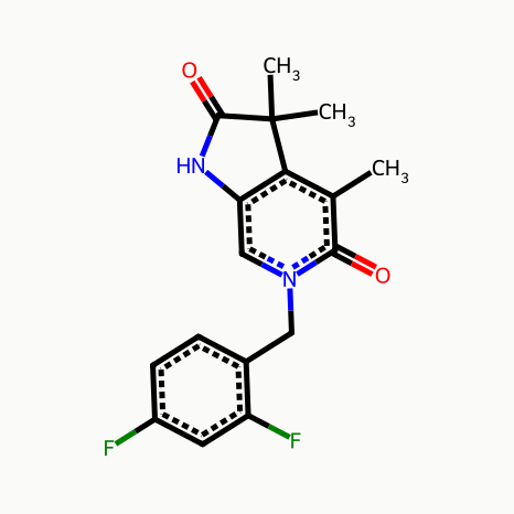 Cc1c2c(cn(Cc3ccc(F)cc3F)c1=O)NC(=O)C2(C)C